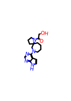 O=C(CO)N1CCCC12CCCCN(c1ncnc3[nH]ccc13)C2